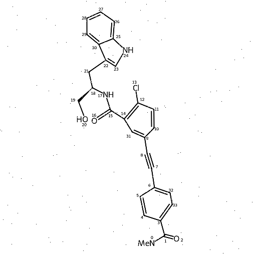 CNC(=O)c1ccc(C#Cc2ccc(Cl)c(C(=O)N[C@@H](CO)Cc3c[nH]c4ccccc34)c2)cc1